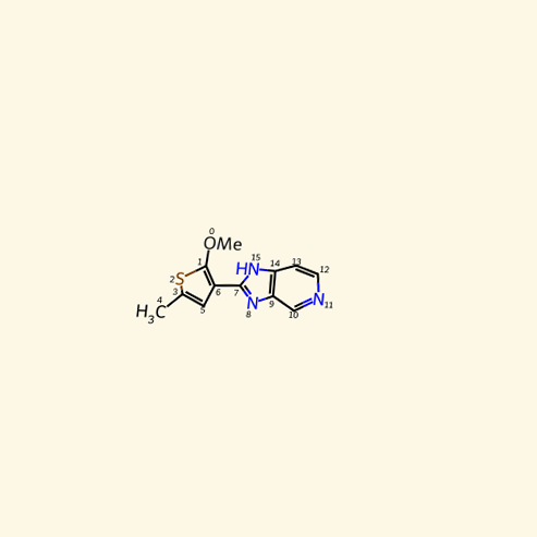 COc1sc(C)cc1-c1nc2cnccc2[nH]1